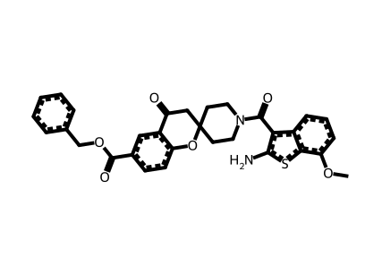 COc1cccc2c(C(=O)N3CCC4(CC3)CC(=O)c3cc(C(=O)OCc5ccccc5)ccc3O4)c(N)sc12